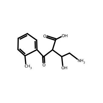 Cc1ccccc1C(=O)C(C(=O)O)C(O)CN